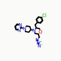 [N-]=[N+]=NCC1CN(C2CCN(c3ncccn3)CC2)C(Cc2ccc(Cl)cc2)CO1